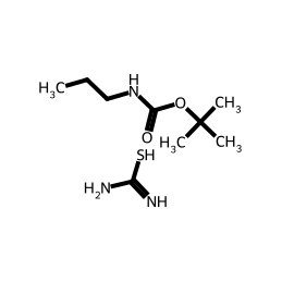 CCCNC(=O)OC(C)(C)C.N=C(N)S